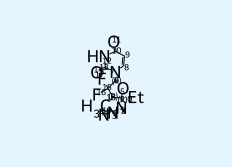 CC[C@@]1(N=[N+]=[N-])O[C@@H](n2ccc(=O)[nH]c2=O)C(F)(F)[C@@H]1C